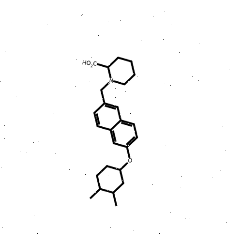 CC1CCC(Oc2ccc3cc(CN4CCCCC4C(=O)O)ccc3c2)CC1C